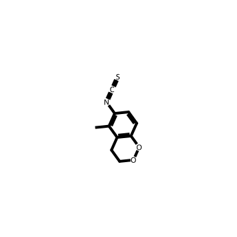 Cc1c(N=C=S)ccc2c1CCOO2